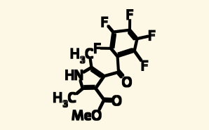 COC(=O)c1c(C)[nH]c(C)c1C(=O)c1c(F)c(F)c(F)c(F)c1F